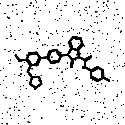 COc1ccc(-c2ccc(-n3c(=O)n(C(=O)Nc4ccc(C)cc4)c4ccccc43)nc2)cc1OC1CCCC1